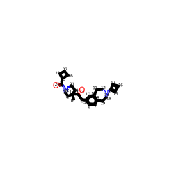 CC1(C(=O)Cc2ccc3c(c2)CCN(C2=CC=C2)CC3)CCN(C(=O)C2CCC2)CC1